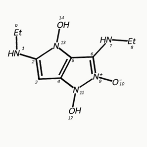 CCNc1cc2c(c(NCC)[n+]([O-])n2O)n1O